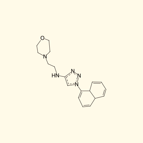 C1=CC2C=CC=C(n3cc(NCCN4CCOCC4)nn3)C2C=C1